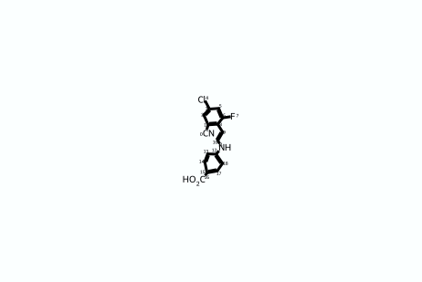 N#Cc1[c]c(Cl)cc(F)c1C=CNc1ccc(C(=O)O)cc1